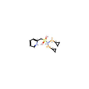 O=S(=O)(Cc1ccccn1)N(PC1CC1)PC1CC1